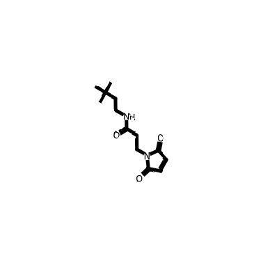 CC(C)(C)CCNC(=O)CCN1C(=O)C=CC1=O